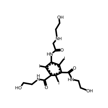 O=C(CNCCO)Nc1c(I)c(C(=O)NCCO)c(I)c(C(=O)NCCO)c1I